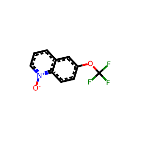 [O-][n+]1cccc2cc(OC(F)(F)F)ccc21